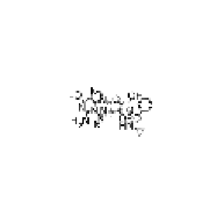 COc1nc(N)nc2c1ncn2[C@@H]1O[C@H](CO)[C@@H](OP(=O)(NC2CC2)Oc2ccccc2)[C@@]1(C)N=[N+]=[N-]